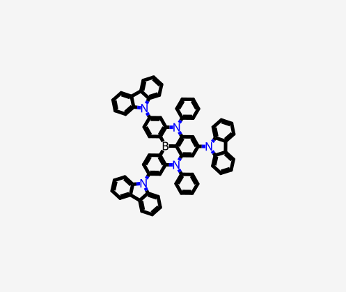 c1ccc(N2c3cc(-n4c5ccccc5c5ccccc54)ccc3B3c4ccc(-n5c6ccccc6c6ccccc65)cc4N(c4ccccc4)c4cc(-n5c6ccccc6c6ccccc65)cc2c43)cc1